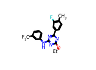 CCOc1nc(Nc2cccc(C(F)(F)F)c2)nc(-c2ccc(C)c(F)c2)n1